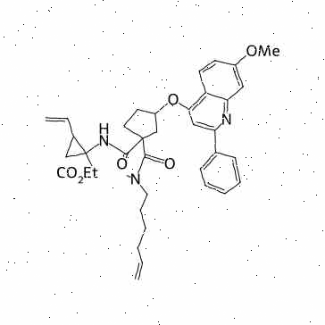 C=CCCCCN(C)C(=O)C1(C(=O)NC2(C(=O)OCC)CC2C=C)CCC(Oc2cc(-c3ccccc3)nc3cc(OC)ccc23)C1